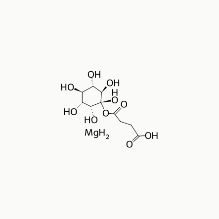 O=C(O)CCC(=O)O[C@]1(O)[C@H](O)[C@H](O)[C@@H](O)[C@H](O)[C@H]1O.[MgH2]